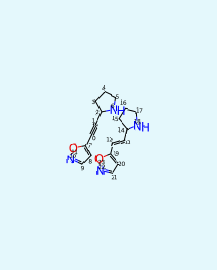 C(#CC1CCCN1)c1ccno1.C(=CC1CCCN1)c1ccno1